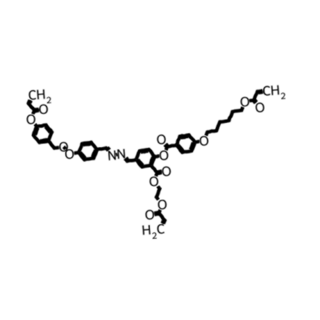 C=CC(=O)OCCCCCCOc1ccc(C(=O)Oc2ccc(/C=N/N=C/c3ccc(OOCc4ccc(OC(=O)C=C)cc4)cc3)cc2C(=O)OCCOC(=O)C=C)cc1